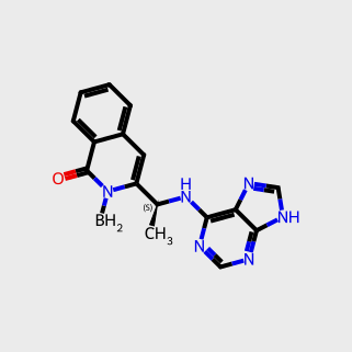 Bn1c([C@H](C)Nc2ncnc3[nH]cnc23)cc2ccccc2c1=O